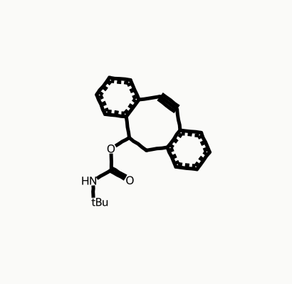 CC(C)(C)NC(=O)OC1Cc2ccccc2C#Cc2ccccc21